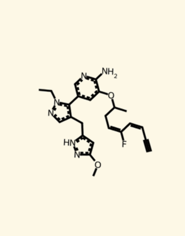 C#C/C=C\C(F)=C/CC(C)Oc1cc(-c2c(Cc3cc(OC)n[nH]3)cnn2CC)cnc1N